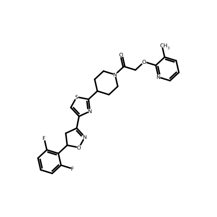 Cc1cccnc1OCC(=O)N1CCC(c2nc(C3=NOC(c4c(F)cccc4F)C3)cs2)CC1